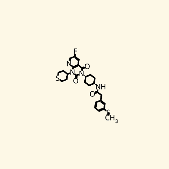 CSc1cccc(CC(=O)N[C@H]2CC[C@@H](n3c(=O)c4cc(F)cnc4n(C4CCSCC4)c3=O)CC2)c1